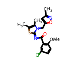 COc1ccc(Cl)cc1C(=O)N=c1sc(C)c(C)n1Cc1cc(C)no1